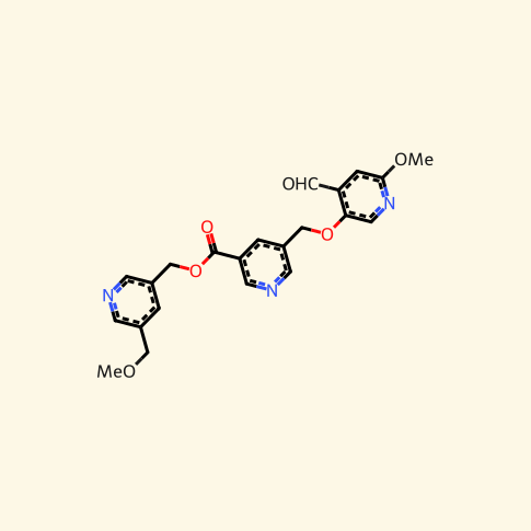 COCc1cncc(COC(=O)c2cncc(COc3cnc(OC)cc3C=O)c2)c1